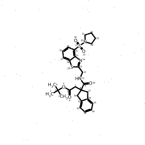 CC(C)(C)OC(=O)CC1(C(=O)NCc2nc3c(S(=O)(=O)N4CCCC4)cccc3s2)Cc2ccccc2C1